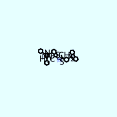 C=c1/c(=C\c2sc3cccc(-c4nc(-c5ccccc5)nc(-c5ccccc5)n4)c3c2C)sc2ccc(-n3c4ccccc4c4ccccc43)cc12